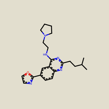 CC(C)CCc1nc(NCCN2CCCC2)c2cc(-c3ncco3)ccc2n1